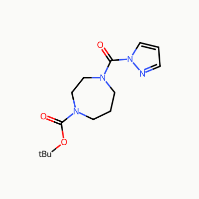 CC(C)(C)OC(=O)N1CCCN(C(=O)n2cccn2)CC1